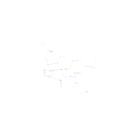 CN(C)c1ccc2c(c1)Oc1cc(N(C)C)ccc1C21c2ccccc2C(=O)N1NC(=O)OC(C)(C)C